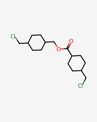 O=C(OCC1CCC(CCl)CC1)C1CCC(CCl)CC1